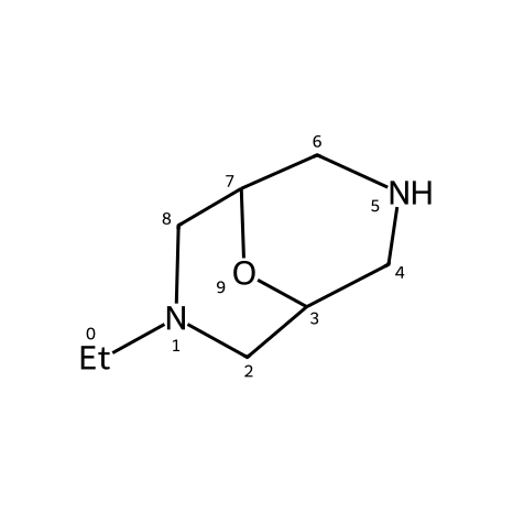 CCN1CC2CNCC(C1)O2